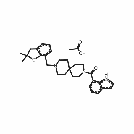 CC(=O)O.CC1(C)Cc2cccc(CN3CCC4(CC3)CCN(C(=O)c3cccc5cc[nH]c35)CC4)c2O1